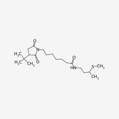 CSC(C)CCNC(=O)CCCCCCN1C(=O)CC(C(C)(C)C)C1=O